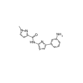 Cn1ccc(C(=O)Nc2nc(-c3cccc(N)c3)cs2)n1